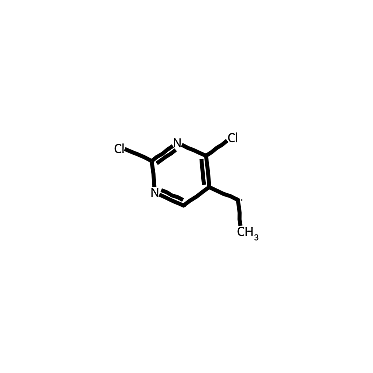 C[CH]c1cnc(Cl)nc1Cl